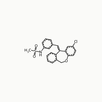 CS(=O)(=O)Nc1cccc(/C=C2\c3ccccc3COc3ccc(Cl)cc32)c1